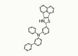 c1ccc(-c2cccc(N(c3ccccc3)c3cccc(C4NC5=C(S4)c4cccc6cccc5c46)c3)c2)cc1